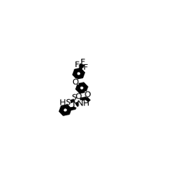 CC(Oc1ccc(Oc2ccc(C(F)(F)F)cc2)cc1)C(=O)NN(Cc1ccccc1)C(=S)S